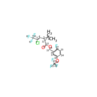 CC1(C)C(C=C(Cl)C(F)(F)F)C1C(=O)OCc1cc(OC(F)(F)F)ccc1F